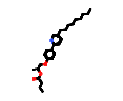 CCCCCCCCCc1ccc(-c2ccc(OC[C@H](C)OC(=O)CCC)cc2)nc1